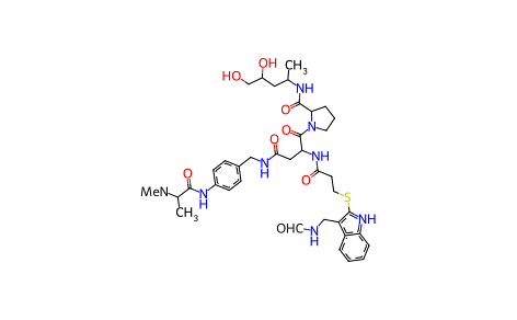 CNC(C)C(=O)Nc1ccc(CNC(=O)CC(NC(=O)CCSc2[nH]c3ccccc3c2CNC=O)C(=O)N2CCCC2C(=O)NC(C)CC(O)CO)cc1